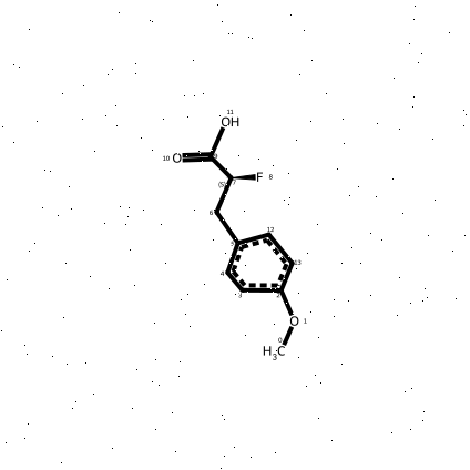 COc1ccc(C[C@H](F)C(=O)O)cc1